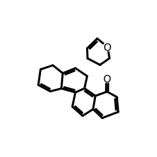 C1=COCCC1.O=C1C=CC=c2ccc3c(c21)CC=C1CCC=CC=31